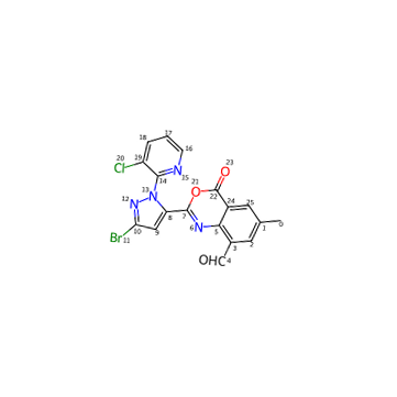 Cc1cc(C=O)c2nc(-c3cc(Br)nn3-c3ncccc3Cl)oc(=O)c2c1